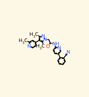 Cc1cc(-c2c(C)nn(CC(=O)Nc3ccc(-c4ccccc4C#N)cn3)c2C)ccn1